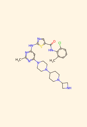 Cc1nc(Nc2ncc(C(=O)Nc3c(C)cccc3Cl)s2)cc(N2CCN(C3CCN(C4CNC4)CC3)CC2)n1